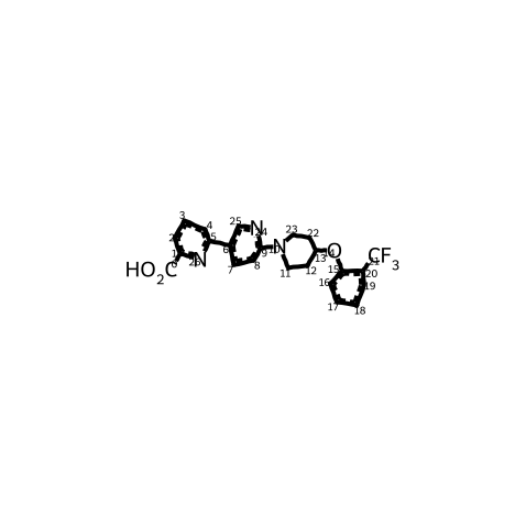 O=C(O)c1cccc(-c2ccc(N3CCC(Oc4ccccc4C(F)(F)F)CC3)nc2)n1